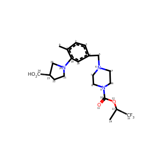 Cc1ccc(CN2CCN(C(=O)OC(C)C(F)(F)F)CC2)cc1N1CCC(C(=O)O)C1